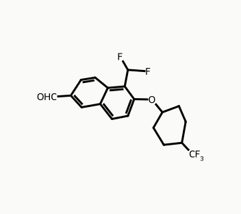 O=Cc1ccc2c(C(F)F)c(OC3CCC(C(F)(F)F)CC3)ccc2c1